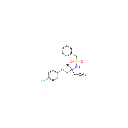 COCC(C#N)(COc1ccc(Cl)cc1)NS(=O)(=O)Cc1ccccc1